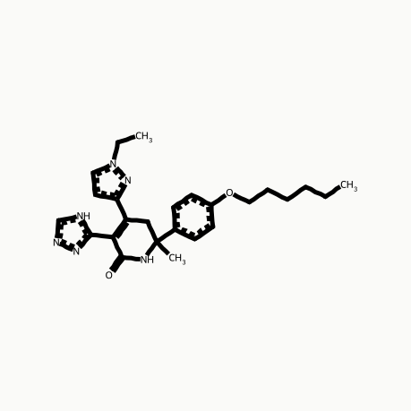 CCCCCCOc1ccc(C2(C)CC(c3ccn(CC)n3)=C(c3nnc[nH]3)C(=O)N2)cc1